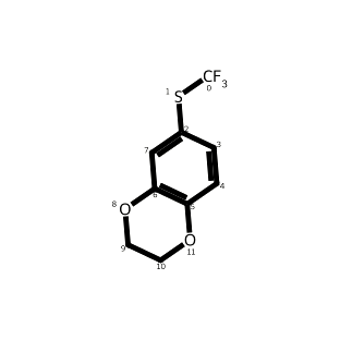 FC(F)(F)Sc1ccc2c(c1)OCCO2